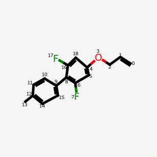 C=CCOc1cc(F)c(-c2ccc(C)cc2)c(F)c1